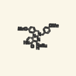 CCCCNc1nc(N(Cc2ccc(OC)cc2)Cc2ccc(OC)cc2)nc2cc[nH]c(=O)c12